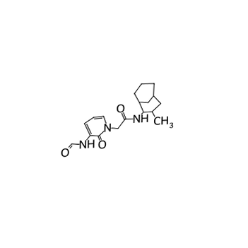 CC1CC2CCCC(C2)C1NC(=O)Cn1cccc(NC=O)c1=O